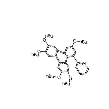 CCCCOc1cc(-c2ccccn2)c2c(c1)c1cc(OCCCC)c(OCCCC)cc1c1cc(OCCCC)c(OCCCC)cc12